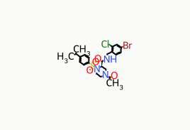 CC(=O)N1CCN(S(=O)(=O)c2ccc(C(C)C)cc2)[C@@H](C(=O)NCc2ccc(Br)cc2Cl)C1